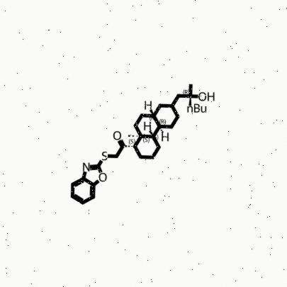 CCCC[C@@](C)(O)CC1CC[C@@H]2[C@H](CC[C@]3(C)[C@@H](C(=O)CSc4nc5ccccc5o4)CCC[C@@H]23)C1